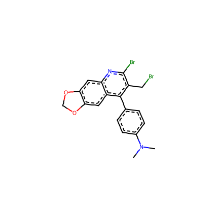 CN(C)c1ccc(-c2c(CBr)c(Br)nc3cc4c(cc23)OCO4)cc1